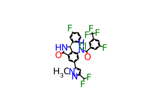 Cn1nc(C(F)F)cc1-c1cc(NC(=O)c2cc(F)cc(C(F)(F)F)c2)c2c(c1)C(=O)N[C@H]2c1cc(F)ccc1Cl